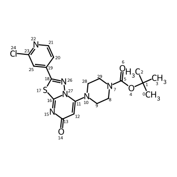 CC(C)(C)OC(=O)N1CCN(c2cc(=O)nc3sc(-c4ccnc(Cl)c4)nn23)CC1